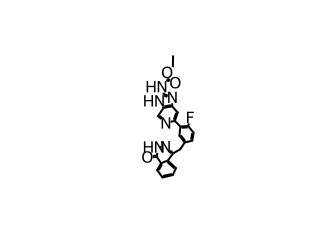 CCOC(=O)Nc1nc2cc(-c3cc(Cc4n[nH]c(=O)c5ccccc45)ccc3F)ncc2[nH]1